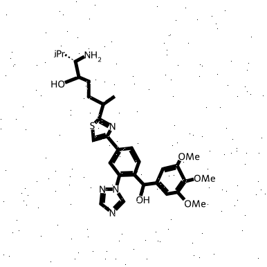 COc1cc(C(O)c2ccc(-c3csc(C(C)CCC(O)[C@@H](N)C(C)C)n3)cc2-n2cncn2)cc(OC)c1OC